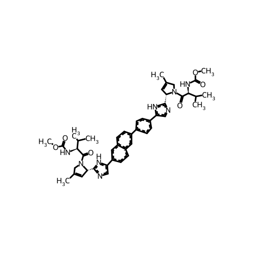 COC(=O)N[C@H](C(=O)N1CC(C)=C[C@H]1c1ncc(-c2ccc(-c3ccc4cc(-c5cnc([C@@H]6C=C(C)CN6C(=O)[C@@H](NC(=O)OC)C(C)C)[nH]5)ccc4c3)cc2)[nH]1)C(C)C